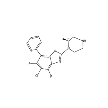 C[C@H]1CNCCN1c1nc2c(F)c(Cl)c(F)c(-c3ccccn3)c2o1